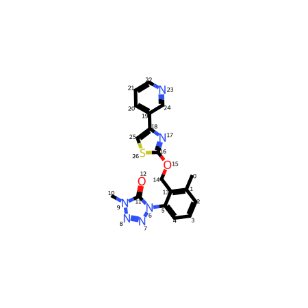 Cc1cccc(-n2nnn(C)c2=O)c1COc1nc(-c2cccnc2)cs1